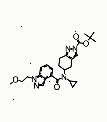 COCCn1ncc2c(C(=O)N(C3CC3)C3CCc4nn(C(=O)OC(C)(C)C)cc4C3)cccc21